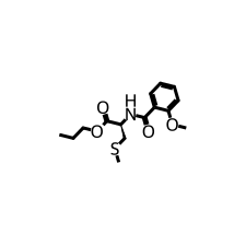 CCCOC(=O)[C@H](CSC)NC(=O)c1ccccc1OC